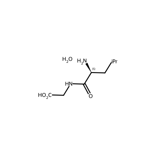 CC(C)C[C@H](N)C(=O)NCC(=O)O.O